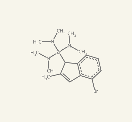 CC1=Cc2c(Br)cccc2[CH]1[Zr]([N](C)C)([N](C)C)[N](C)C